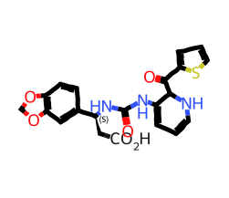 O=C(O)C[C@H](NC(=O)NC1=CC=CNC1C(=O)c1cccs1)c1ccc2c(c1)OCO2